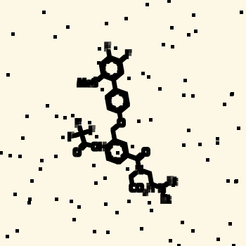 CCN(CC)CCN(CC(=O)O)C(=O)c1cccc(COc2ccc(-c3cc(F)c(F)cc3SC)cc2)c1.O=C(O)C(F)(F)F